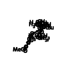 COC(=O)c1ccc(-c2ccc(C(=O)Oc3ccc(OCCCCCCC(Cc4cc(C(C)(C)C)c(O)c(C(C)(C)C)c4)(C(=O)OC4CC(C)(C)N(C)C(C)(C)C4)C(=O)OC4CC(C)(C)N(C)C(C)(C)C4)cc3)cc2)cc1